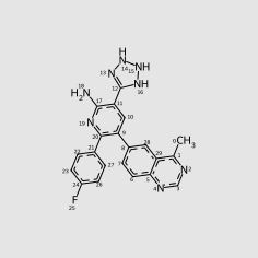 Cc1ncnc2ccc(-c3cc(C4=NNNN4)c(N)nc3-c3ccc(F)cc3)cc12